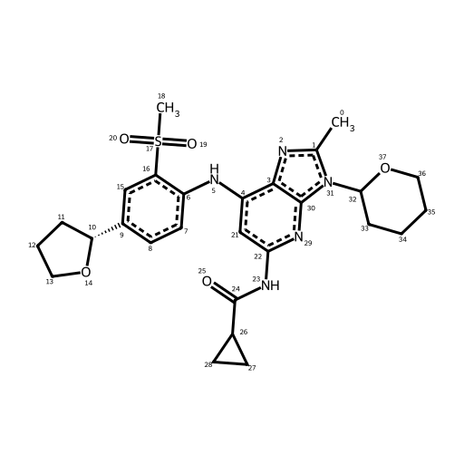 Cc1nc2c(Nc3ccc([C@H]4CCCO4)cc3S(C)(=O)=O)cc(NC(=O)C3CC3)nc2n1C1CCCCO1